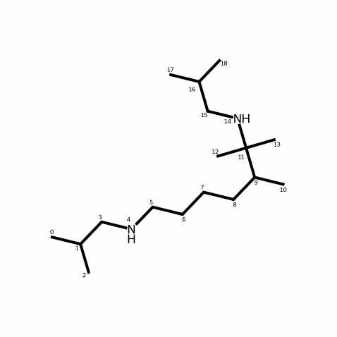 CC(C)CNCCCCC(C)C(C)(C)NCC(C)C